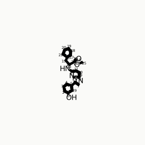 Oc1cccc(-c2cnc3ccc(NC(Cc4ccccc4)C4=COCO4)nn23)c1